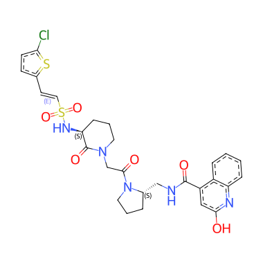 O=C(NC[C@@H]1CCCN1C(=O)CN1CCC[C@H](NS(=O)(=O)/C=C/c2ccc(Cl)s2)C1=O)c1cc(O)nc2ccccc12